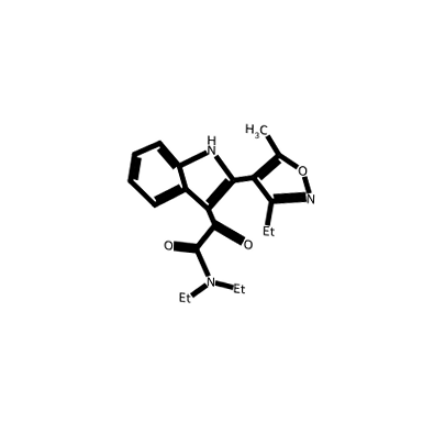 CCc1noc(C)c1-c1[nH]c2ccccc2c1C(=O)C(=O)N(CC)CC